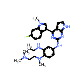 CCNc1cc(Nc2nc(-c3cn(C)c4cc(F)ccc34)c3cc[nH]c3n2)ccc1N(C)CCN(C)C